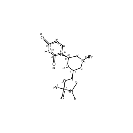 CC(C)N1C[C@@H](COP(=O)(C(C)C)N(C)C)O[C@@H](n2ccc(=O)[nH]c2=O)C1